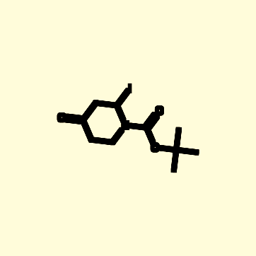 CC(C)(C)OC(=O)N1CCC(=O)CC1I